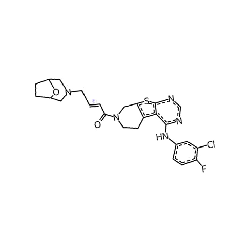 O=C(/C=C/CN1CC2CCC(C1)O2)N1CCc2c(sc3ncnc(Nc4ccc(F)c(Cl)c4)c23)C1